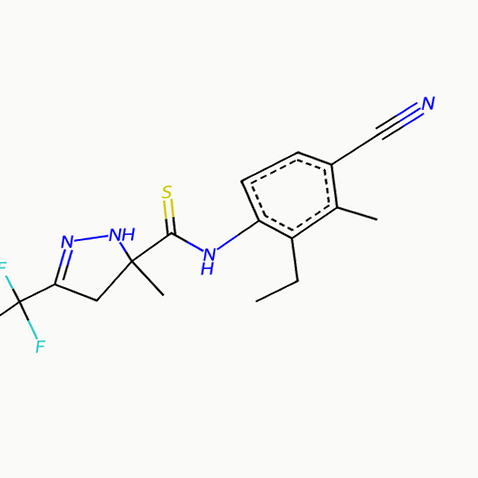 CCc1c(NC(=S)C2(C)CC(C(F)(F)F)=NN2)ccc(C#N)c1C